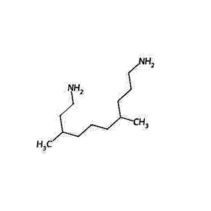 CC(CCN)CCCC(C)CCCN